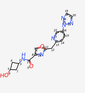 O=C(NC1CC(O)C1)c1coc(Cc2ccc(-n3nccn3)cn2)n1